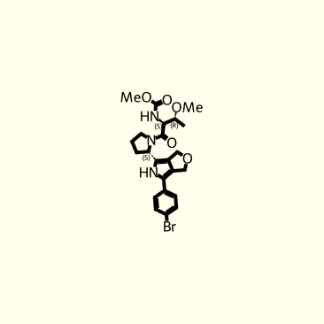 COC(=O)N[C@H](C(=O)N1CCC[C@H]1c1[nH]c(-c2ccc(Br)cc2)c2c1COC2)[C@@H](C)OC